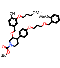 COCCCOc1cc(COC2CN(C(=O)OC(C)(C)C)CCC2c2ccc(OCCCOCc3ccccc3OC)cc2)ccc1C#N